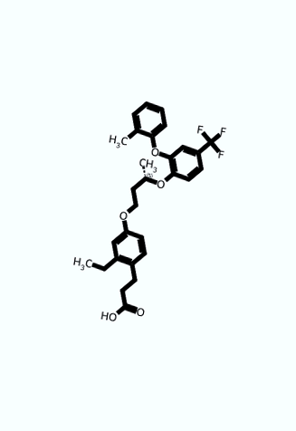 CCc1cc(OCC[C@H](C)Oc2ccc(C(F)(F)F)cc2Oc2ccccc2C)ccc1CCC(=O)O